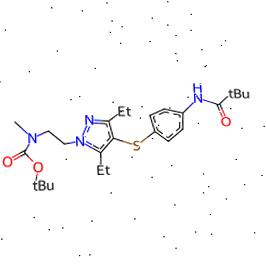 CCc1nn(CCN(C)C(=O)OC(C)(C)C)c(CC)c1Sc1ccc(NC(=O)C(C)(C)C)cc1